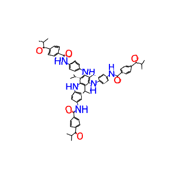 CC(C)C(=O)c1ccc(C(=O)Nc2ccc(Nc3c(C(C)C)c(Nc4ccc(NC(=O)c5ccc(C(=O)C(C)C)cc5)cc4)c(C(C)C)c(Nc4ccc(NC(=O)c5ccc(C(=O)C(C)C)cc5)cc4)c3C(C)C)cc2)cc1